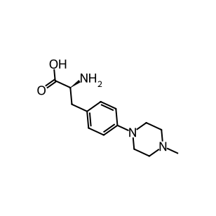 CN1CCN(c2ccc(C[C@H](N)C(=O)O)cc2)CC1